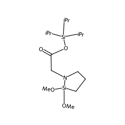 CO[Si]1(OC)CCCN1CC(=O)O[Si](C(C)C)(C(C)C)C(C)C